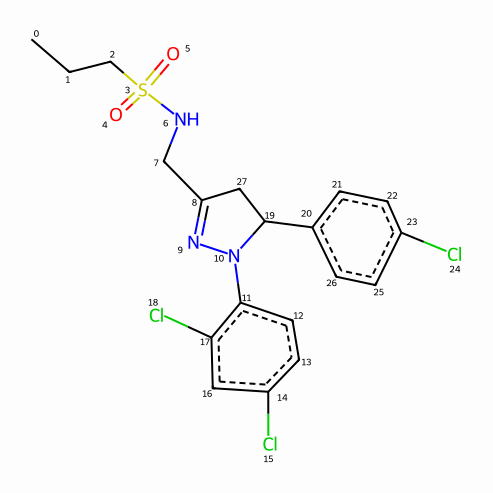 CCCS(=O)(=O)NCC1=NN(c2ccc(Cl)cc2Cl)C(c2ccc(Cl)cc2)C1